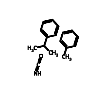 CC(C)c1ccccc1.Cc1ccccc1.N=C=O